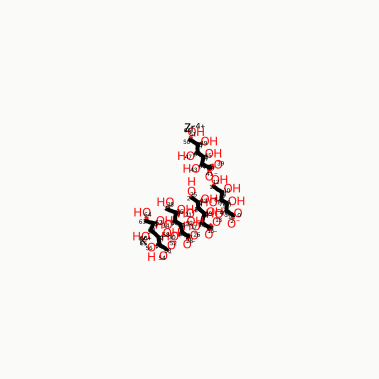 O=C([O-])[C@H](O)[C@@H](O)[C@H](O)[C@H](O)CO.O=C([O-])[C@H](O)[C@@H](O)[C@H](O)[C@H](O)CO.O=C([O-])[C@H](O)[C@@H](O)[C@H](O)[C@H](O)CO.O=C([O-])[C@H](O)[C@@H](O)[C@H](O)[C@H](O)CO.O=C([O-])[C@H](O)[C@@H](O)[C@H](O)[C@H](O)CO.[K+].[Zr+4]